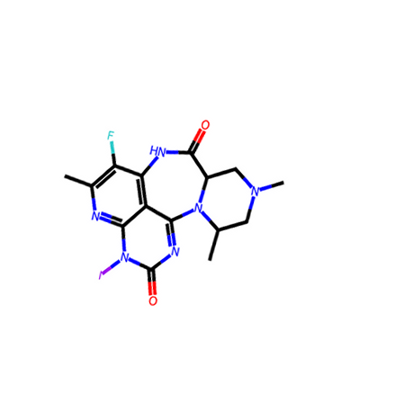 Cc1nc2c3c(nc(=O)n2I)N2C(C)CN(C)CC2C(=O)Nc3c1F